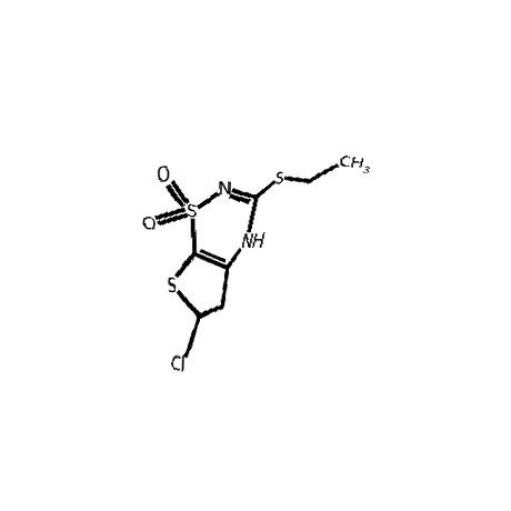 CCSC1=NS(=O)(=O)C2=C(CC(Cl)S2)N1